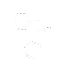 [O]=[Hf](=[O])([CH2]c1ccccc1)[CH2]c1ccccc1